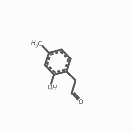 Cc1ccc(CC=O)c(O)c1